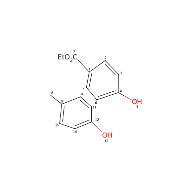 CCOC(=O)c1ccc(O)cc1.Cc1ccc(O)cc1